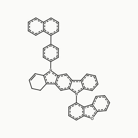 C1=Cc2c(c3cc4c(cc3n2-c2ccc(-c3cccc5ccccc35)cc2)c2ccccc2n4-c2cccc3oc4ccccc4c23)CC1